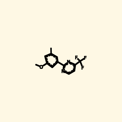 COc1cc(C)cc(-c2nccc(C(F)(F)F)n2)c1